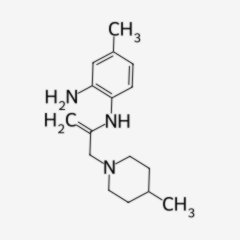 C=C(CN1CCC(C)CC1)Nc1ccc(C)cc1N